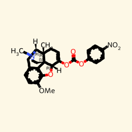 COc1ccc2c3c1O[C@H]1C(OC(=O)Oc4ccc([N+](=O)[O-])cc4)=CC[C@@]4(C)[C@@H](C2)N(C)CC[C@]314